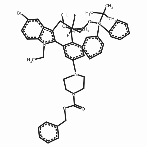 CCn1c(-c2cc(N3CCN(C(=O)OCc4ccccc4)CC3)cnc2[C@H](C)OC)c(CC(F)(F)CO[Si](c2ccccc2)(c2ccccc2)C(C)(C)C)c2cc(Br)ccc21